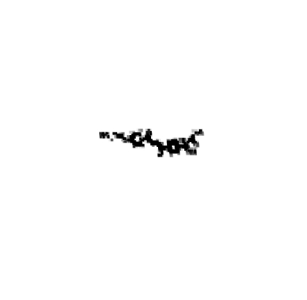 CC(C)COC(=O)NC(=N)c1ccc(C(=O)CCC(=O)N2CCC(OCC(=O)O)CC2)cc1